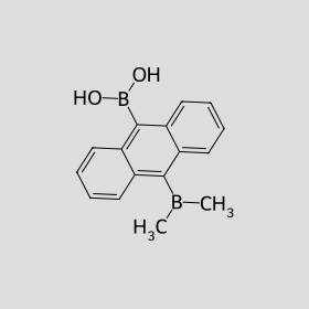 CB(C)c1c2ccccc2c(B(O)O)c2ccccc12